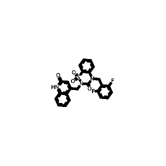 O=C1N(Cc2c(F)cccc2F)c2ccccc2S(=O)(=O)N1Cc1cc(=O)[nH]c2ccccc12